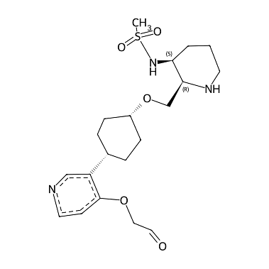 CS(=O)(=O)N[C@H]1CCCN[C@H]1CO[C@H]1CC[C@@H](c2cnccc2OCC=O)CC1